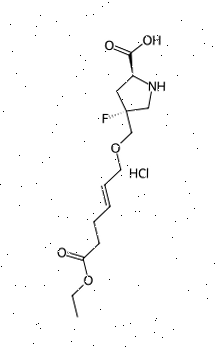 CCOC(=O)CC/C=C/COC[C@]1(F)CN[C@H](C(=O)O)C1.Cl